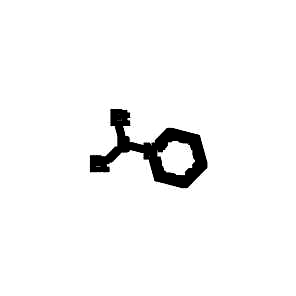 CCB(CC)[n+]1ccccc1